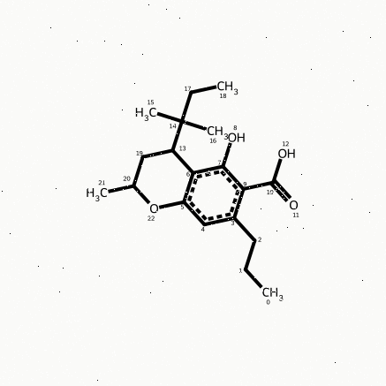 CCCc1cc2c(c(O)c1C(=O)O)C(C(C)(C)CC)CC(C)O2